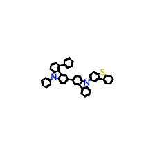 c1ccc(-c2cccc3c2c2cc(-c4ccc5c(c4)c4ccccc4n5-c4ccc5sc6ccccc6c5c4)ccc2n3-c2ccccc2)cc1